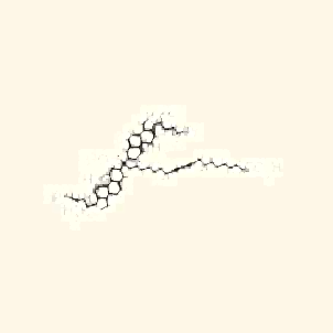 CC(C)CCC[C@@H](C)[C@H]1CCC2C3CC=C4CC(C(CCCCCCCC#CC#CCCCCCCCCC(=O)O)(C(=O)O)C5CC[C@@]6(C)C(=CCC7C6CC[C@@]6(C)C7CC[C@@H]6[C@H](C)CCCC(C)C)C5)CC[C@]4(C)C3CC[C@@]21C